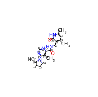 Cc1cc(C)c(CNC(=O)c2ncnc(N3CCC[C@@H]3C#N)c2C)c(=O)[nH]1